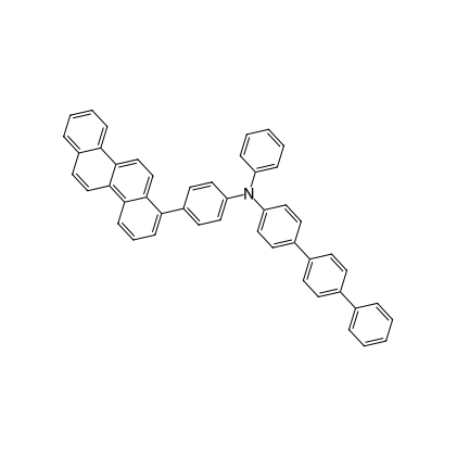 c1ccc(-c2ccc(-c3ccc(N(c4ccccc4)c4ccc(-c5cccc6c5ccc5c7ccccc7ccc65)cc4)cc3)cc2)cc1